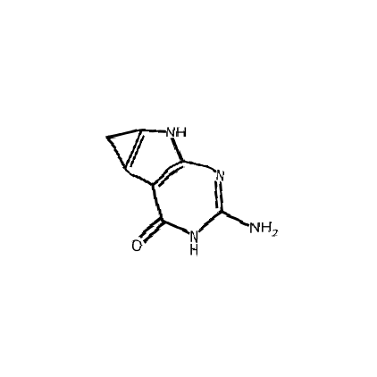 Nc1nc2[nH]c3c(c2c(=O)[nH]1)C3